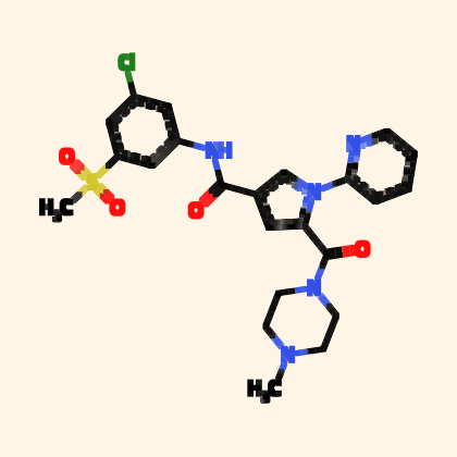 CN1CCN(C(=O)c2cc(C(=O)Nc3cc(Cl)cc(S(C)(=O)=O)c3)cn2-c2ccccn2)CC1